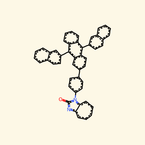 O=c1nc2cccccc-2n1-c1ccc(-c2ccc3c(-c4ccc5ccccc5c4)c4ccccc4c(-c4ccc5ccccc5c4)c3c2)cc1